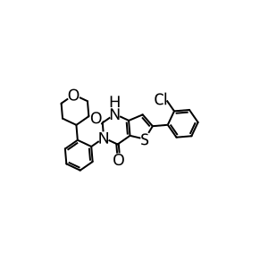 O=c1[nH]c2cc(-c3ccccc3Cl)sc2c(=O)n1-c1ccccc1C1CCOCC1